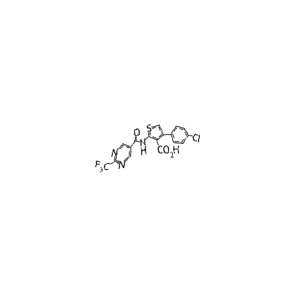 O=C(Nc1scc(-c2ccc(Cl)cc2)c1C(=O)O)c1cnc(C(F)(F)F)nc1